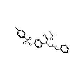 Cc1ccc(S(=O)(=O)Oc2ccc(C(CNCc3ccccc3)C(=O)OC(C)C)cc2)cc1